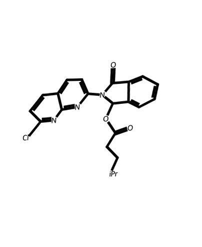 CC(C)CCC(=O)OC1c2ccccc2C(=O)N1c1ccc2ccc(Cl)nc2n1